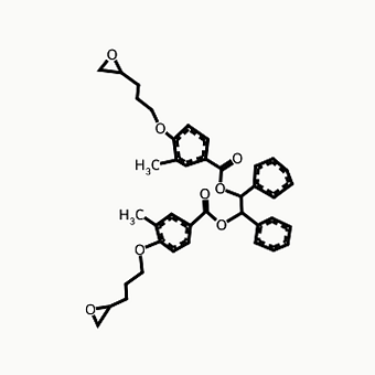 Cc1cc(C(=O)OC(c2ccccc2)C(OC(=O)c2ccc(OCCCC3CO3)c(C)c2)c2ccccc2)ccc1OCCCC1CO1